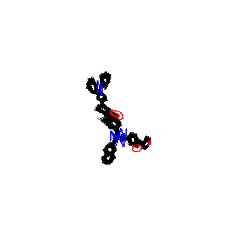 c1ccc(-n2c3ccccc3c3cc(-c4ccc5c(c4)oc4cc(-c6nc(-c7ccc8ccccc8c7)nc(-c7ccc8c(c7)oc7ccccc78)n6)ccc45)ccc32)cc1